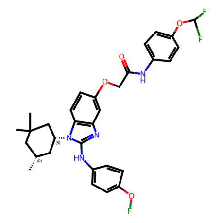 C[C@H]1C[C@@H](n2c(Nc3ccc(OF)cc3)nc3cc(OCC(=O)Nc4ccc(OC(F)F)cc4)ccc32)CC(C)(C)C1